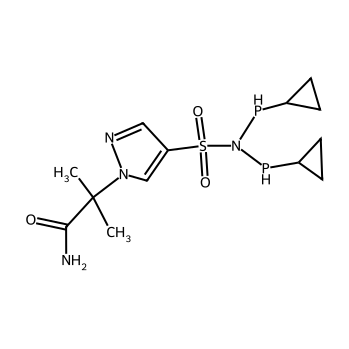 CC(C)(C(N)=O)n1cc(S(=O)(=O)N(PC2CC2)PC2CC2)cn1